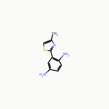 Cc1csc(-c2cc(N)ccc2N)n1